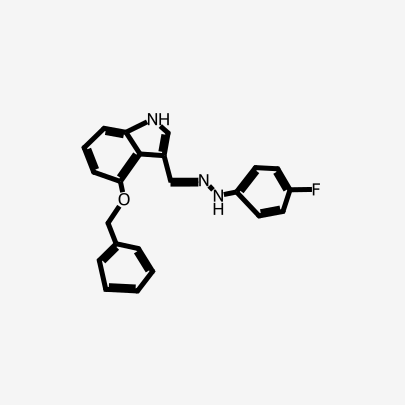 Fc1ccc(N/N=C/c2c[nH]c3cccc(OCc4ccccc4)c23)cc1